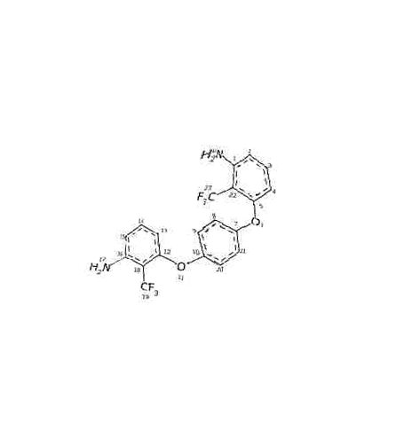 Nc1cccc(Oc2ccc(Oc3cccc(N)c3C(F)(F)F)cc2)c1C(F)(F)F